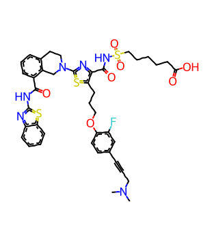 CN(C)CC#Cc1ccc(OCCCc2sc(N3CCc4cccc(C(=O)Nc5nc6ccccc6s5)c4C3)nc2C(=O)NS(=O)(=O)CCCCCC(=O)O)c(F)c1